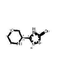 O=c1[nH]c([C@@H]2COCCN2)ns1